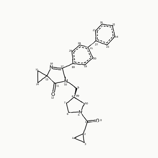 O=C(C1CC1)N1CC[C@@H](CN2C(=O)C3(CC3)N=C2c2ccc(-c3cc[c]cc3)cc2)C1